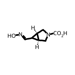 O=C(O)N1C[C@@H]2C(/C=N/O)[C@@H]2C1